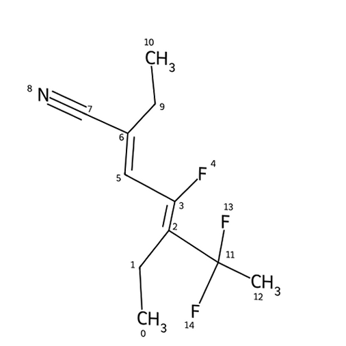 CC/C(=C(F)\C=C(\C#N)CC)C(C)(F)F